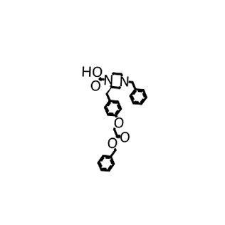 O=C(COc1ccc(C[C@@H]2CN(Cc3ccccc3)CCN2C(=O)O)cc1)OCc1ccccc1